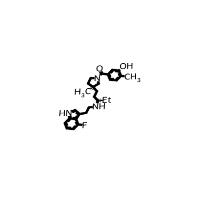 CC[C@H](CC[C@@]1(C)CCN(C(=O)c2ccc(C)c(O)c2)C1)NCCc1c[nH]c2cccc(F)c12